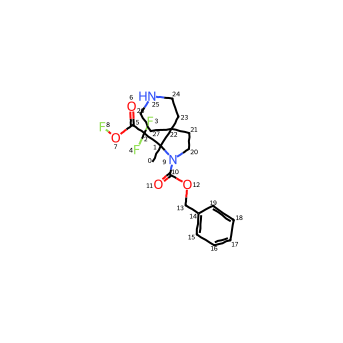 CC1(C(F)(F)C(=O)OF)N(C(=O)OCc2ccccc2)CCC12CCNCC2